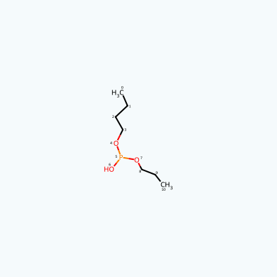 CCCCOP(O)OCCC